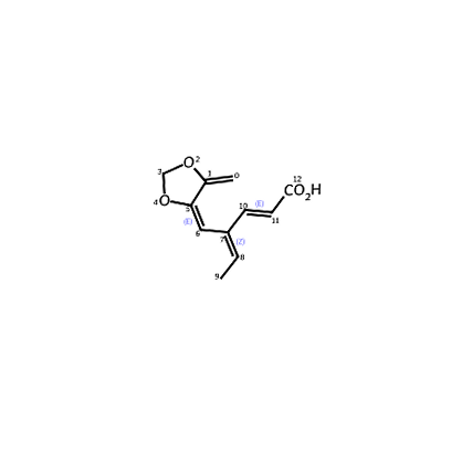 C=C1OCO/C1=C/C(=C\C)/C=C/C(=O)O